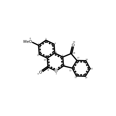 COc1ccc2c3c(oc(=O)c2c1)-c1ccccc1C3=O